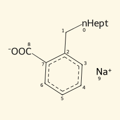 CCCCCCCCc1ccccc1C(=O)[O-].[Na+]